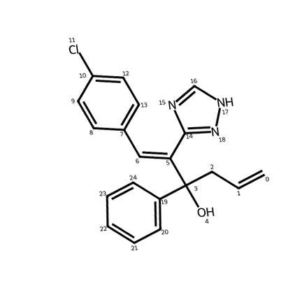 C=CCC(O)(C(=Cc1ccc(Cl)cc1)c1nc[nH]n1)c1ccccc1